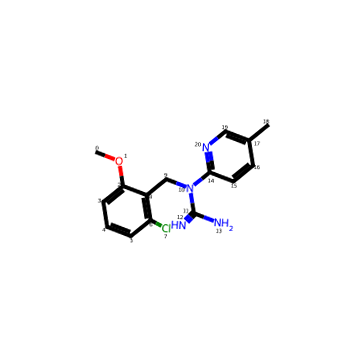 COc1cccc(Cl)c1CN(C(=N)N)c1ccc(C)cn1